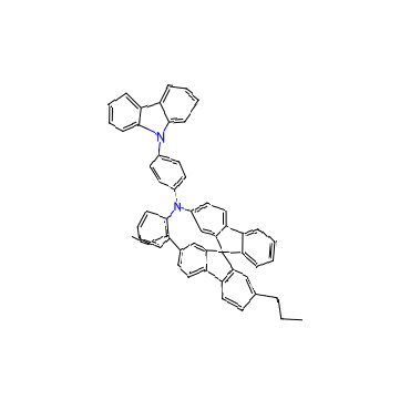 CCCc1ccc2c(c1)C1(c3ccccc3-c3ccc(N(c4ccccc4)c4ccc(-n5c6ccccc6c6ccccc65)cc4)cc31)c1cc(CCC)ccc1-2